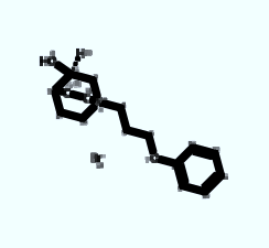 O[C@H]1C[N+]2(CCCOc3ccccc3)CCC1CC2.[Br-]